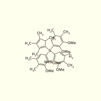 COc1c([Si](C2=C(C)C(C)=C(C)C2C)(c2cc(C)c(C)c(OC)c2OC)c2cc(C)c(C)c(OC)c2OC)cc(C)c(C)c1OC